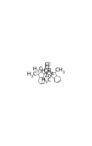 CC1C2CC=CC=C2[C](C)([Zr+2][C]2(C)C3=CC=CCC3C(C)C2C)C1C.[Cl-].[Cl-]